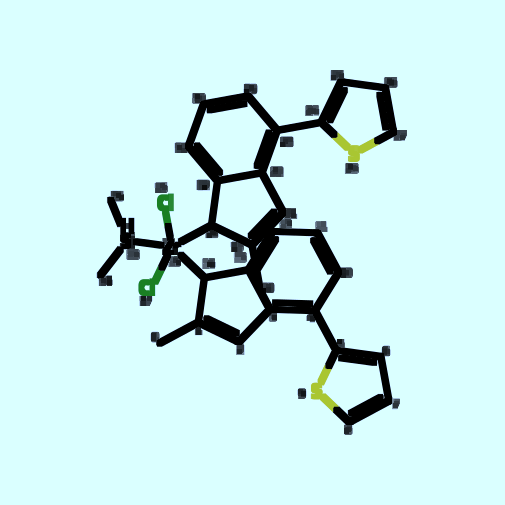 CC1=Cc2c(-c3cccs3)cccc2[CH]1[Zr]([Cl])([Cl])([CH]1C(C)=Cc2c(-c3cccs3)cccc21)[SiH](C)C